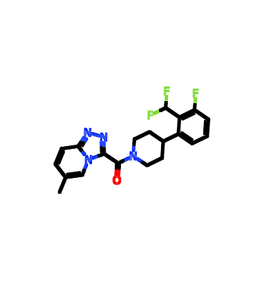 Cc1ccc2nnc(C(=O)N3CCC(c4cccc(F)c4C(F)F)CC3)n2c1